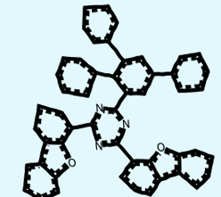 c1ccc(-c2cc(-c3ccccc3)c(-c3ccccc3)c(-c3nc(-c4cccc5c4oc4ccccc45)nc(-c4cccc5c4oc4ccccc45)n3)c2)cc1